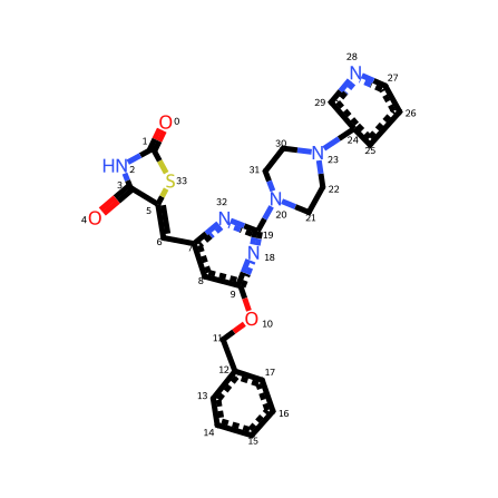 O=C1NC(=O)C(=Cc2cc(OCc3ccccc3)nc(N3CCN(c4cccnc4)CC3)n2)S1